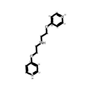 c1cc(OCCNCCOc2ccncc2)ccn1